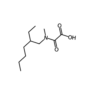 CCCCC(CC)CN(C)C(=O)C(=O)O